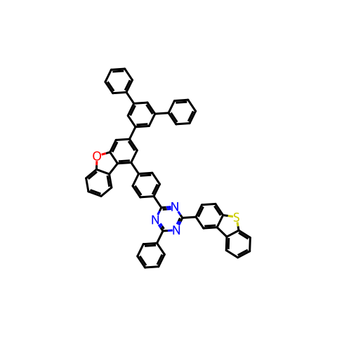 c1ccc(-c2cc(-c3ccccc3)cc(-c3cc(-c4ccc(-c5nc(-c6ccccc6)nc(-c6ccc7sc8ccccc8c7c6)n5)cc4)c4c(c3)oc3ccccc34)c2)cc1